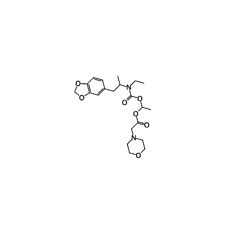 CCN(C(=O)OC(C)OC(=O)CN1CCOCC1)C(C)Cc1ccc2c(c1)OCO2